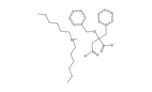 CCCCC[CH2][Sn+2][CH2]CCCCC.O=C([O-])CC(Cc1ccccc1)(OCc1ccccc1)C(=O)[O-]